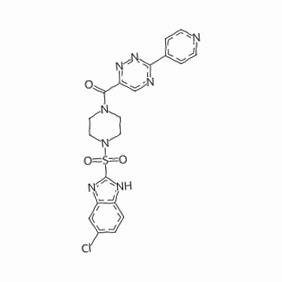 O=C(c1cnc(-c2ccncc2)nn1)N1CCN(S(=O)(=O)c2nc3cc(Cl)ccc3[nH]2)CC1